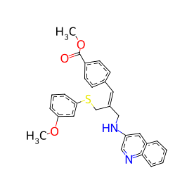 COC(=O)c1ccc(C=C(CNc2cnc3ccccc3c2)CSc2cccc(OC)c2)cc1